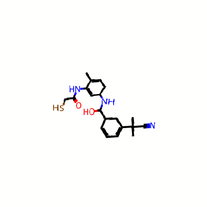 CC1=CCC(NC(O)C2C=CC=C(C(C)(C)C#N)C2)C=C1NC(=O)CS